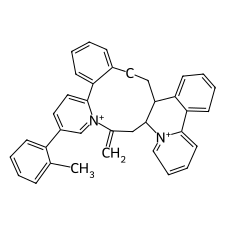 C=C1CC2C(CCc3ccccc3-c3ccc(-c4ccccc4C)c[n+]31)c1ccccc1-c1cccc[n+]12